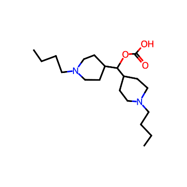 CCCCN1CCC(C(OC(=O)O)C2CCN(CCCC)CC2)CC1